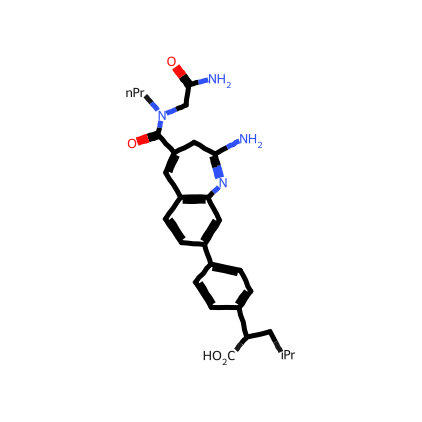 CCCN(CC(N)=O)C(=O)C1=Cc2ccc(-c3ccc(C(CC(C)C)C(=O)O)cc3)cc2N=C(N)C1